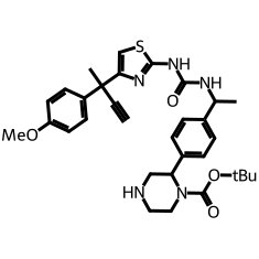 C#CC(C)(c1ccc(OC)cc1)c1csc(NC(=O)NC(C)c2ccc(C3CNCCN3C(=O)OC(C)(C)C)cc2)n1